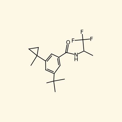 CC(NC(=O)c1cc(C(C)(C)C)cc(C2(C)CC2)c1)C(F)(F)F